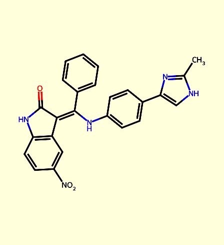 Cc1nc(-c2ccc(NC(=C3C(=O)Nc4ccc([N+](=O)[O-])cc43)c3ccccc3)cc2)c[nH]1